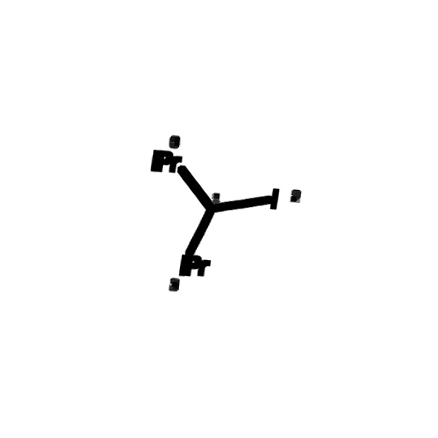 [CH2]C(C)C(I)C(C)C